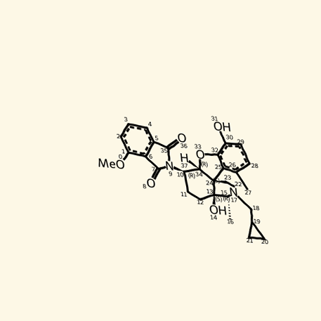 COc1cccc2c1C(=O)N([C@@H]1CC[C@@]3(O)[C@@H](C)N(CC4CC4)CC[C@@]34c3c(C)ccc(O)c3O[C@@H]14)C2=O